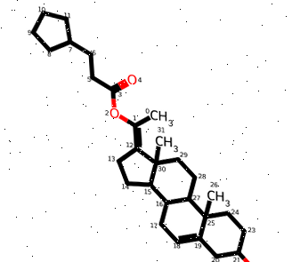 C/C(OC(=O)CCC1CCCC1)=C1/CCC2C3CC=C4CC(O)CCC4(C)C3CCC12C